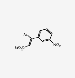 CCOC(=O)C=C(C(C)=O)c1cccc([N+](=O)[O-])c1